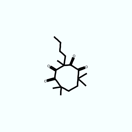 CCCCC1(C)C(=O)C(=O)C(C)(C)CCC(C)(C)C(=O)C1=O